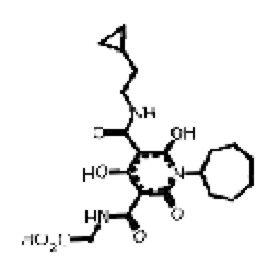 O=C(O)CNC(=O)c1c(O)c(C(=O)NCCC2CC2)c(O)n(C2CCCCCC2)c1=O